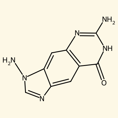 Nc1nc2cc3c(cc2c(=O)[nH]1)ncn3N